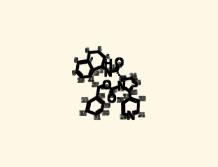 O=C(NC1CCCc2ccccc21)[C@@H]1CSC(c2ccncc2)N1C(=O)OCc1ccccc1